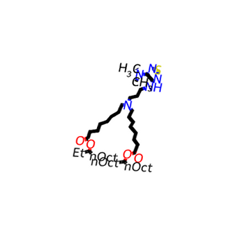 CCCCCCCCC(CC)OC(=O)CCCCCCCN(CCCCCCCC(=O)OC(CCCCCCCC)CCCCCCCC)CCCNc1nsnc1N(C)C